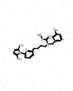 Cc1ccc(C)n1-c1cccc(CCCCN(Cc2cccc(O)c2)C(=O)OC(C)(C)C)n1